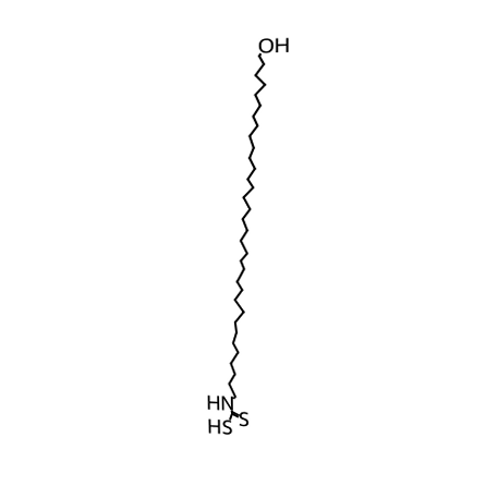 OCCCCCCCCCCCCCCCCCCCCCCCCCCCCCCCCCCNC(=S)S